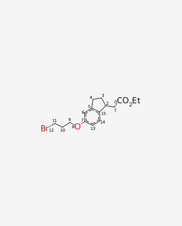 CCOC(=O)CC1CCc2cc(OCCCBr)ccc21